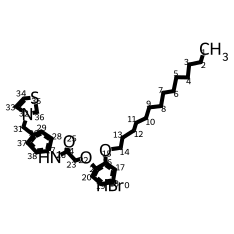 Br.CCCCCCCCCCCCCCOc1ccccc1OCC(=O)Nc1ccc(CN2C=CSC2)cc1